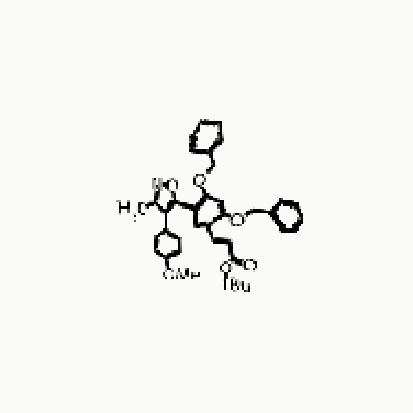 COc1ccc(-c2c(C)noc2-c2cc(C=CC(=O)OC(C)(C)C)c(OCc3ccccc3)cc2OCc2ccccc2)cc1